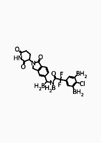 Bc1cc(C(F)(F)C(=O)N(B)C(B)c2ccc3c(c2)CN(C2CCC(=O)NC2=O)C3=O)cc(B)c1Cl